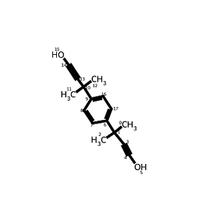 CC(C)(C#CO)c1ccc(C(C)(C)C#CO)cc1